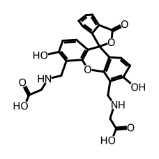 O=C(O)CNCc1c(O)ccc2c1Oc1c(ccc(O)c1CNCC(=O)O)C21OC(=O)c2ccccc21